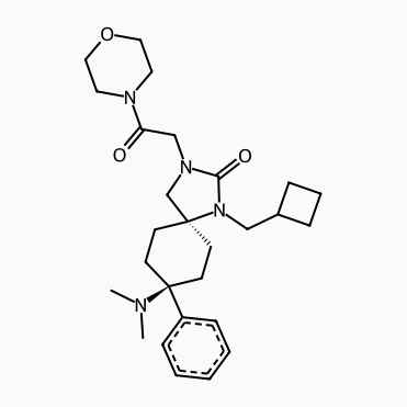 CN(C)[C@]1(c2ccccc2)CC[C@]2(CC1)CN(CC(=O)N1CCOCC1)C(=O)N2CC1CCC1